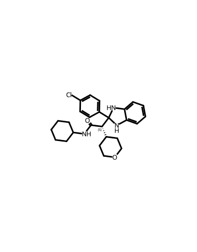 O=C(NC1CCCCC1)[C@@H](C1CCOCC1)C1(c2ccc(Cl)cc2)Nc2ccccc2N1